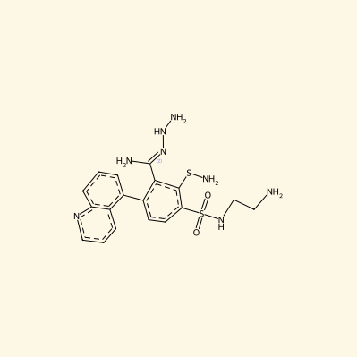 NCCNS(=O)(=O)c1ccc(-c2cccc3ncccc23)c(/C(N)=N/NN)c1SN